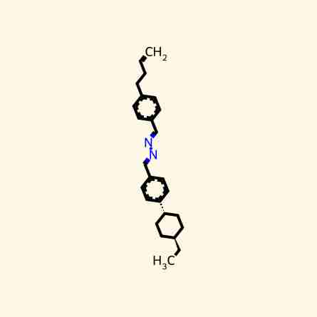 C=CCCc1ccc(C=NN=Cc2ccc([C@H]3CC[C@H](CC)CC3)cc2)cc1